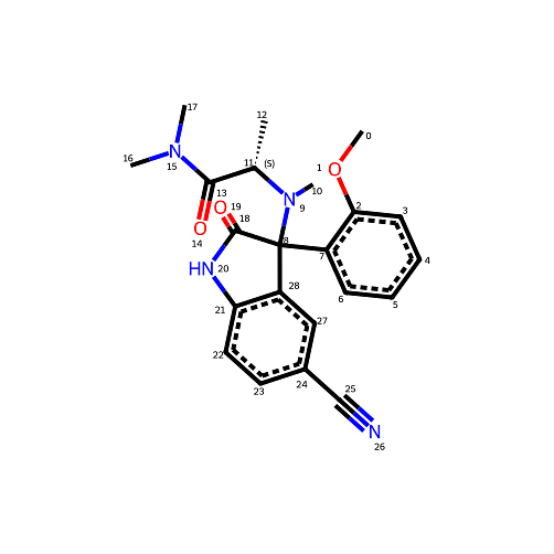 COc1ccccc1C1(N(C)[C@@H](C)C(=O)N(C)C)C(=O)Nc2ccc(C#N)cc21